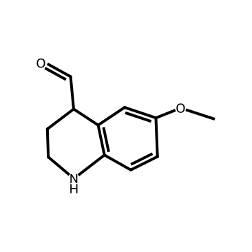 COc1ccc2c(c1)C(C=O)CCN2